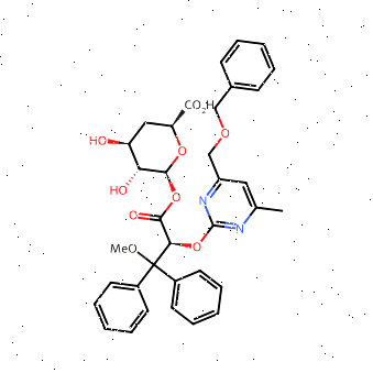 COC(c1ccccc1)(c1ccccc1)[C@H](Oc1nc(C)cc(COCc2ccccc2)n1)C(=O)O[C@@H]1O[C@H](C(=O)O)C[C@H](O)[C@H]1O